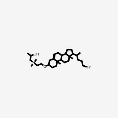 CC(C)CCCC(C)C1CCC2C3CC=C4CC(OCC[N+](C)(C)CC(C)O)CCC4(C)C3CCC12C